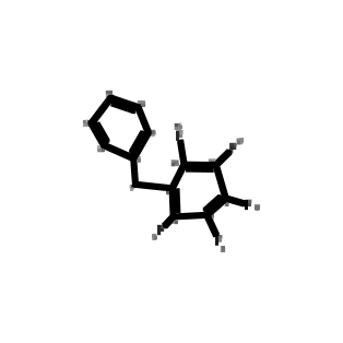 Fc1c(F)c(F)c(Cc2ccccc2)c(F)c1F